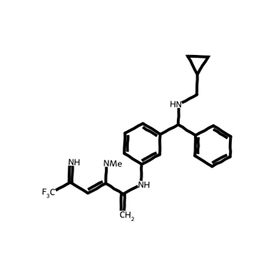 C=C(Nc1cccc(C(NCC2CC2)c2ccccc2)c1)/C(=C/C(=N)C(F)(F)F)NC